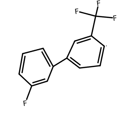 Fc1cccc(-c2cc[c]c(C(F)(F)F)c2)c1